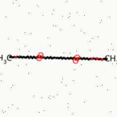 CCCCCCCCCCCCCCCCCCOC(=O)CCCCCCCCCCCCCCCCCCCCC(=O)OCCCCCCCCCCCCCCCCCC